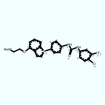 CNCCOc1cccc2c1ccn2-c1ccc(NC(=O)Nc2ccc(Cl)c(C(F)(F)F)c2)cc1